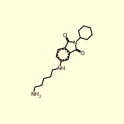 NCCCCCNc1ccc2c(c1)C(=O)N(C1CCCCC1)C2=O